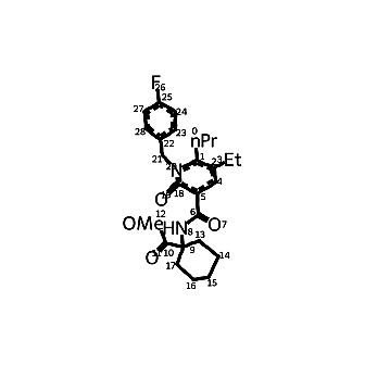 CCCc1c(CC)cc(C(=O)NC2(C(=O)OC)CCCCC2)c(=O)n1Cc1ccc(F)cc1